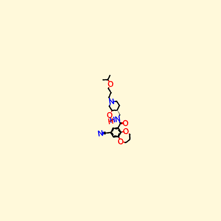 CC(C)OCCCN1CC[C@H](CNC(=O)c2cc(C#N)cc3c2OCCCO3)[C@@H](O)C1